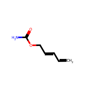 C=CC=CCOC(N)=O